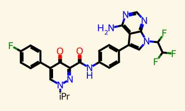 CC(C)n1cc(-c2ccc(F)cc2)c(=O)c(C(=O)Nc2ccc(-c3cn(C(F)C(F)F)c4ncnc(N)c34)cc2)n1